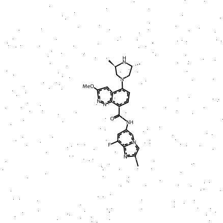 COc1cc2c(N3C[C@@H](C)N[C@H](C)C3)ccc(C(=O)Nc3cc(F)c4nc(C)cn4c3)c2nn1